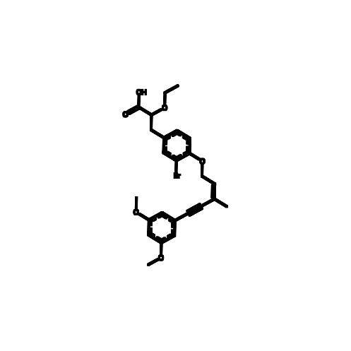 CCOC(Cc1ccc(OCC=C(C)C#Cc2cc(OC)cc(OC)c2)c(Br)c1)C(=O)O